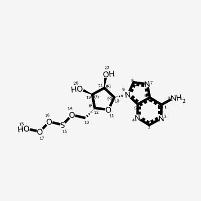 Nc1ncnc2c1ncn2[C@@H]1O[C@H](COSOOO)[C@@H](O)[C@H]1O